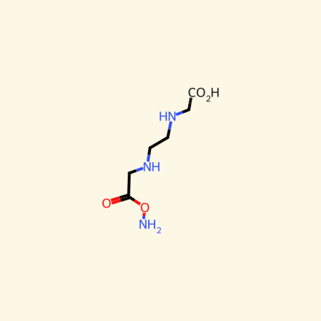 NOC(=O)CNCCNCC(=O)O